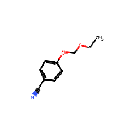 CCOCOc1ccc(C#N)cc1